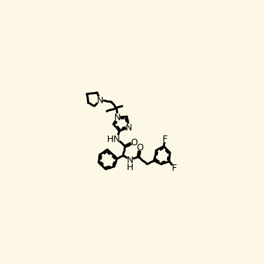 CC(C)(CN1CCCC1)n1cnc(NC(=O)C(NC(=O)Cc2cc(F)cc(F)c2)c2ccccc2)c1